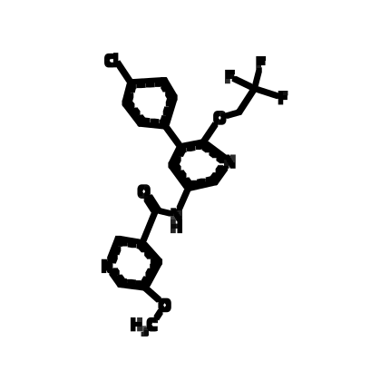 COc1cncc(C(=O)Nc2cnc(OCC(F)(F)F)c(-c3ccc(Cl)cc3)c2)c1